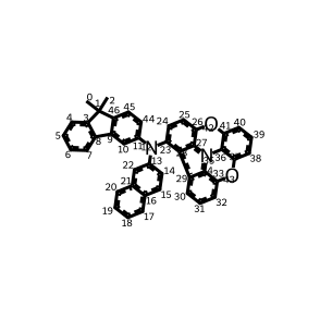 CC1(C)c2ccccc2-c2cc(N(c3ccc4ccccc4c3)c3ccc4c5c3c3cccc6c3n5-c3c(cccc3O4)O6)ccc21